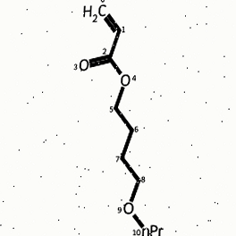 C=CC(=O)OCCCCOCCC